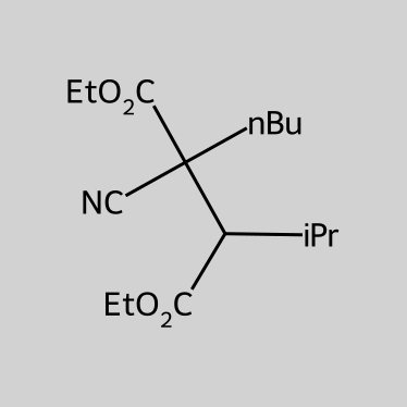 CCCCC(C#N)(C(=O)OCC)C(C(=O)OCC)C(C)C